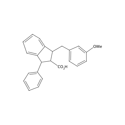 COc1cccc(CC2c3ccccc3C(c3ccccc3)C2C(=O)O)c1